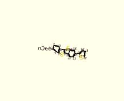 CCCCCCCCCCc1ccc2c(c1)sc1c3ccc(-c4cccs4)cc3sc21